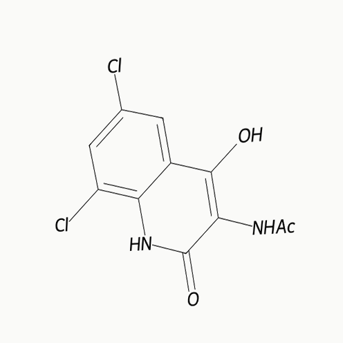 CC(=O)Nc1c(O)c2cc(Cl)cc(Cl)c2[nH]c1=O